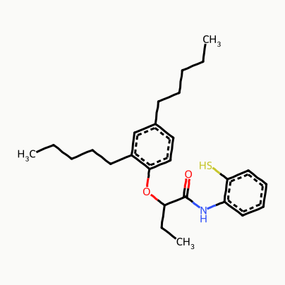 CCCCCc1ccc(OC(CC)C(=O)Nc2ccccc2S)c(CCCCC)c1